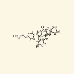 O=C(O)C=Cc1ccc(-c2nc3c(=O)n(Cc4ccc(F)cc4)c(=O)n(Cc4ccc(F)cc4)c3[nH]2)cc1